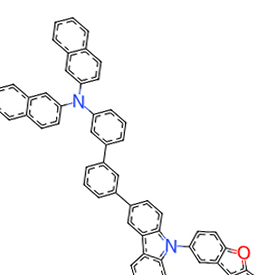 c1cc(-c2cccc(N(c3ccc4ccccc4c3)c3ccc4ccccc4c3)c2)cc(-c2ccc3c(c2)c2ccccc2n3-c2ccc3oc4ccccc4c3c2)c1